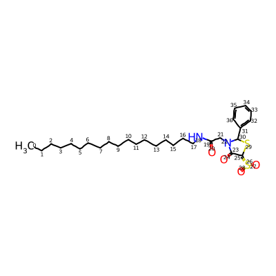 CCCCCCCCCCCCCCCCCCNC(=O)CN1C(=O)C(=S(=O)=O)SC1c1ccccc1